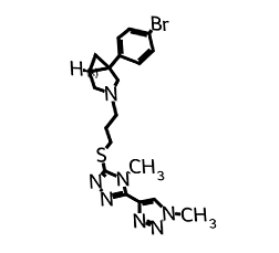 Cn1cc(-c2nnc(SCCCN3C[C@@H]4CC4(c4ccc(Br)cc4)C3)n2C)nn1